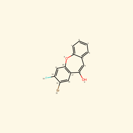 OC1=Cc2ccccc2Oc2cc(F)c(Br)cc21